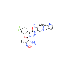 CC/C(=N/O)C(N)C(=O)NC(C(=O)N/C(C=N)=C/NCc1cccnc1OC)C1CCC(F)(F)CC1